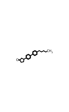 CCCCCc1ccc(-c2ccc(C3CCC(=O)C3)cc2)cc1